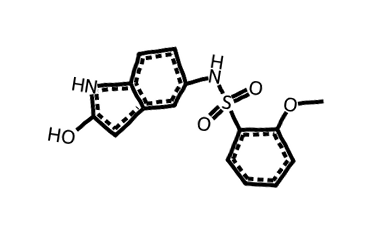 COc1ccccc1S(=O)(=O)Nc1ccc2[nH]c(O)cc2c1